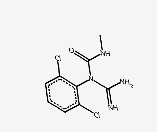 CNC(=O)N(C(=N)N)c1c(Cl)cccc1Cl